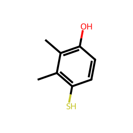 Cc1c(O)ccc(S)c1C